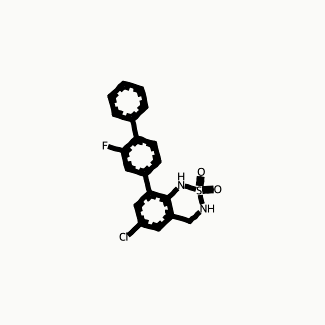 O=S1(=O)NCc2cc(Cl)cc(-c3ccc(-c4ccccc4)c(F)c3)c2N1